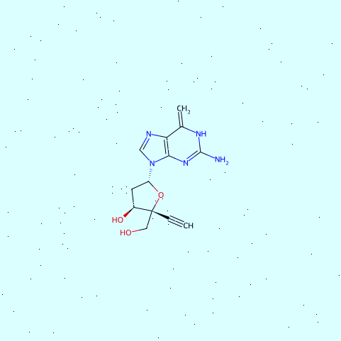 C#C[C@]1(CO)O[C@@H](n2cnc3c2N=C(N)NC3=C)C[C@@H]1O